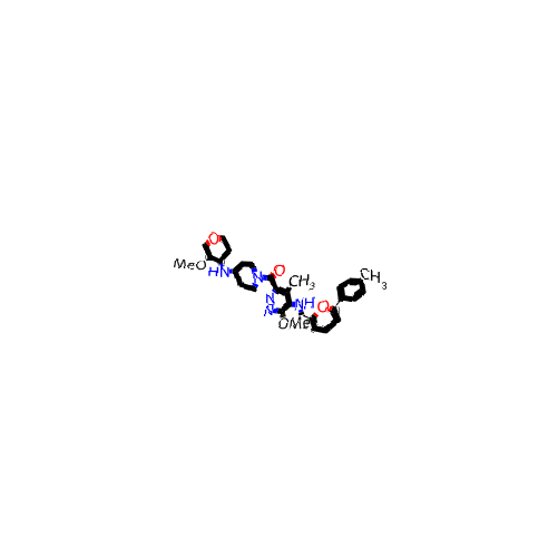 COc1nnc(C(=O)N2CCC(N[C@@H]3CCOC[C@@H]3OC)CC2)c(C)c1NC[C@H]1CCC[C@@H](c2ccc(C)cc2)O1